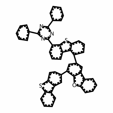 c1ccc(-c2nc(-c3ccccc3)nc(-c3cccc4c3sc3cccc(-c5cc(-c6ccc7sc8ccccc8c7c6)c6oc7ccccc7c6c5)c34)n2)cc1